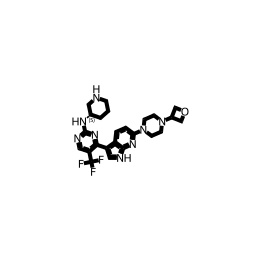 FC(F)(F)c1cnc(N[C@H]2CCCNC2)nc1-c1c[nH]c2nc(N3CCN(C4COC4)CC3)ccc12